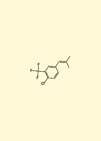 CC(C)=Cc1ccc(Cl)c(C(F)(F)F)c1